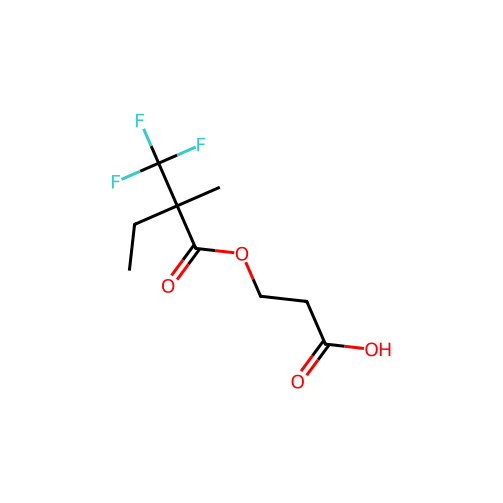 CCC(C)(C(=O)OCCC(=O)O)C(F)(F)F